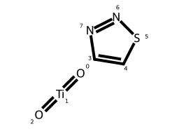 [O]=[Ti]=[O].c1csnn1